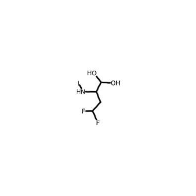 OC(O)C(CC(F)F)NI